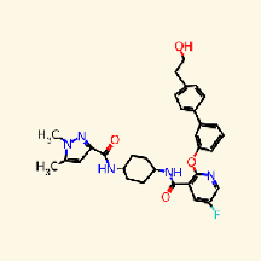 Cc1cc(C(=O)N[C@H]2CC[C@H](NC(=O)c3cc(F)cnc3Oc3cccc(-c4ccc(CCO)cc4)c3)CC2)nn1C